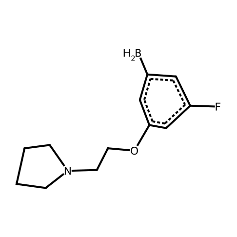 Bc1cc(F)cc(OCCN2CCCC2)c1